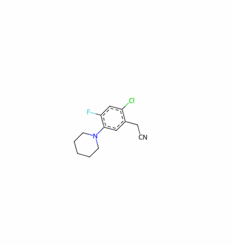 N#CCc1cc(N2CCCCC2)c(F)cc1Cl